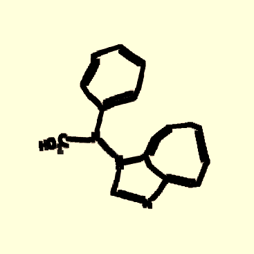 O=C(O)N(c1ccccc1)n1cnc2ccccc21